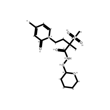 CC(CCn1ccc(I)cc1=O)(C(=O)NOC1CCCCO1)S(C)(=O)=O